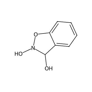 OC1c2ccccc2ON1O